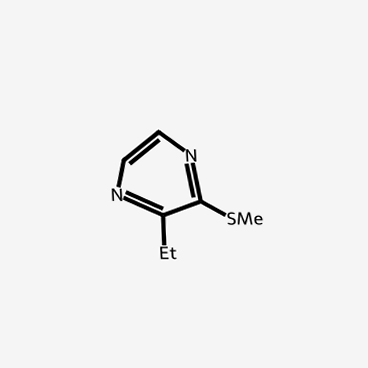 CCc1nccnc1SC